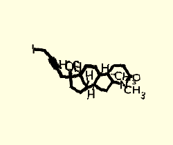 CN1C(=O)CC[C@@]2(C)C1CC[C@@H]1[C@H]2CC[C@@]2(C)[C@H]1CCC2(O)CC#CCI